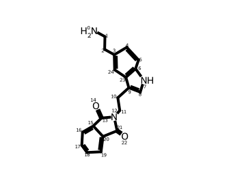 NCCc1ccc2[nH]cc(CCN3C(=O)c4ccccc4C3=O)c2c1